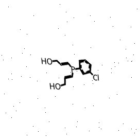 OC/C=C/P(/C=C/CO)c1cccc(Cl)c1